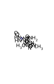 CNc1nc(N/C(C=N)=C/NC2CCOCC2)c(C(N)=O)nc1-c1cncc2c1ncn2C